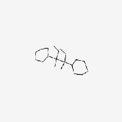 CCC(C)(C1CCCCC1)C(C)(CC)C1CCCCC1